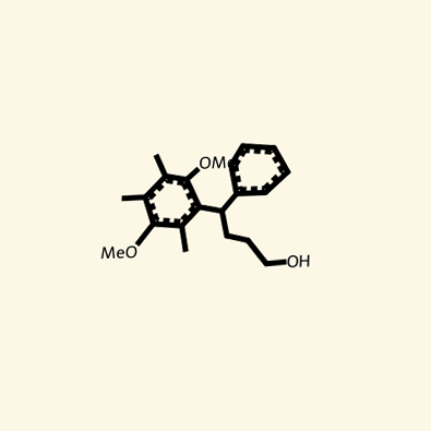 COc1c(C)c(C)c(OC)c(C(CCCO)c2ccccc2)c1C